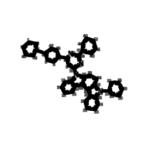 c1ccc(-c2ccc(-c3cc(-n4c5ccccc5c5c6c7ccccc7n(-c7ccccc7)c6ccc54)nc(-c4ccccc4)n3)cc2)cc1